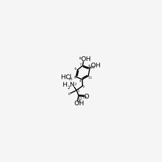 CC(N)(Cc1ccc(O)c(O)c1)C(=O)O.Cl